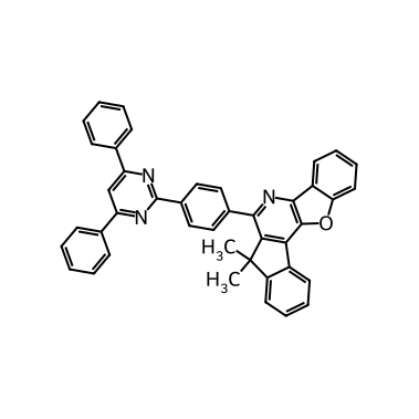 CC1(C)c2ccccc2-c2c1c(-c1ccc(-c3nc(-c4ccccc4)cc(-c4ccccc4)n3)cc1)nc1c2oc2ccccc21